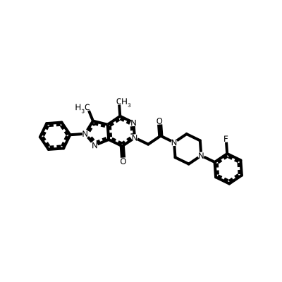 Cc1nn(CC(=O)N2CCN(c3ccccc3F)CC2)c(=O)c2nn(-c3ccccc3)c(C)c12